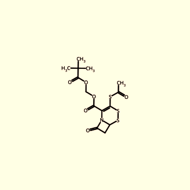 CC(=O)SC1=C(C(=O)OCOC(=O)C(C)(C)C)N2C(=O)CC2SS1